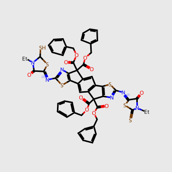 CCN1C(=O)/C(=N/c2nc3c(s2)-c2cc4c(cc2C3(C(=O)OCc2ccccc2)C(=O)OCc2ccccc2)-c2sc(/N=C3\SC(S)N(CC)C3=O)nc2C4(C(=O)OCc2ccccc2)C(=O)OCc2ccccc2)SC1=S